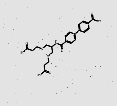 CCC(=O)CCOCC(COCCC(=O)C(C)C)NC(=O)c1ccc(-c2ccc(C(=O)C(C)C)cc2)cc1